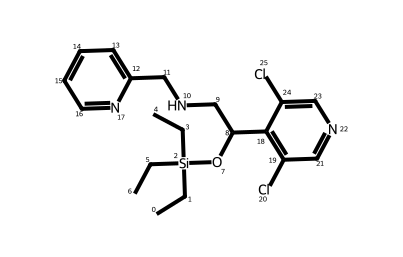 CC[Si](CC)(CC)OC(CNCc1ccccn1)c1c(Cl)cncc1Cl